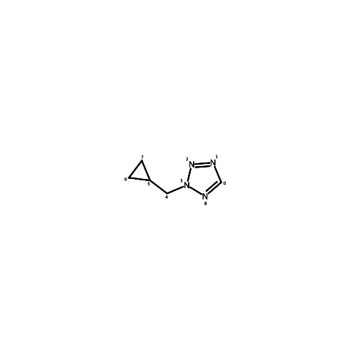 c1nnn(CC2CC2)n1